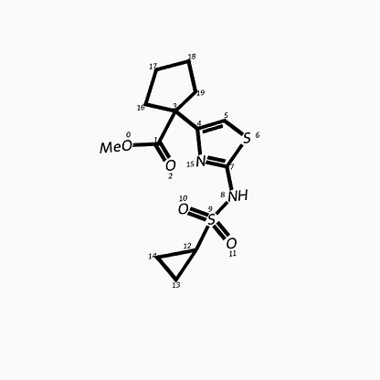 COC(=O)C1(c2csc(NS(=O)(=O)C3CC3)n2)CCCC1